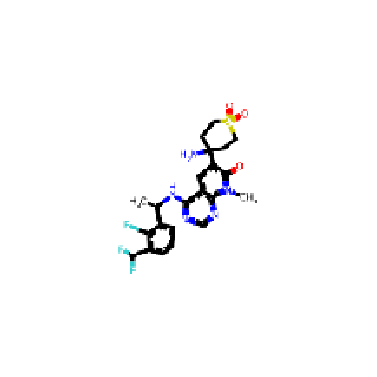 C[C@@H](Nc1ncnc2c1cc(C1(N)CCS(=O)(=O)CC1)c(=O)n2C)c1cccc(C(F)F)c1F